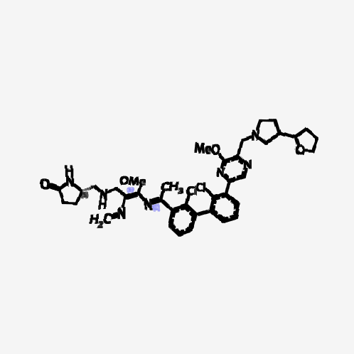 C=N/C(CNC[C@@H]1CCC(=O)N1)=C(\N=C(/C)c1cccc(-c2cccc(-c3cnc(CN4CCC(C5CCCO5)C4)c(OC)n3)c2Cl)c1Cl)OC